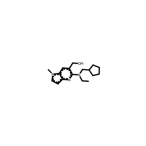 CCN(CC1CCCC1)c1nc2ccn(C)c2cc1CO